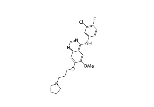 COc1cc2c(Nc3ccc(F)c(Cl)c3)ncnc2cc1OCCCN1CCCC1